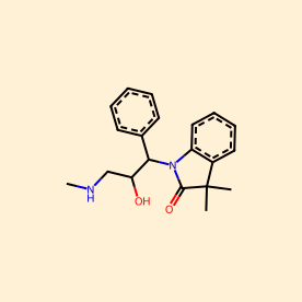 CNCC(O)C(c1ccccc1)N1C(=O)C(C)(C)c2ccccc21